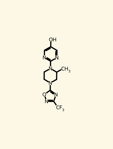 CC1CN(c2nc(C(F)(F)F)no2)CCN1c1ncc(O)cn1